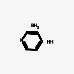 B.[HH].c1ccncc1